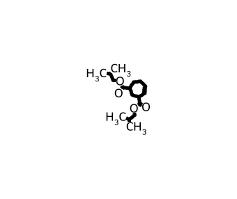 CC(C)COC(=O)C1C=CCCC(C(=O)OCC(C)C)C1